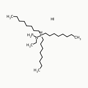 CCCCCCCC[PH](CCCCCCCC)(CCCCCCCC)N(P)CC.I